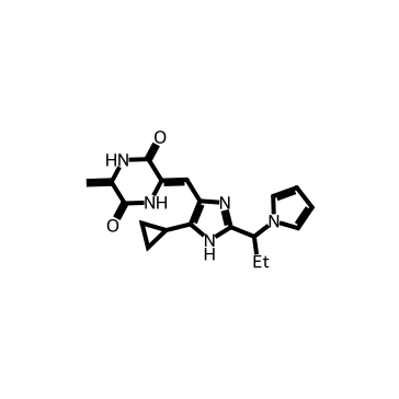 C=c1[nH]c(=O)c(=Cc2nc(C(CC)n3cccc3)[nH]c2C2CC2)[nH]c1=O